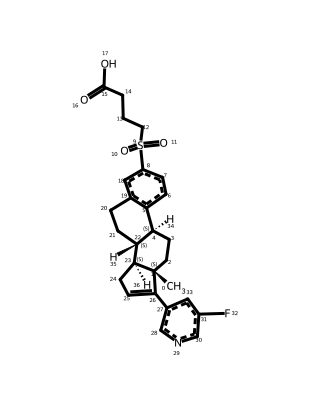 C[C@]12CC[C@@H]3c4ccc(S(=O)(=O)CCCC(=O)O)cc4CC[C@H]3[C@@H]1CC=C2c1cncc(F)c1